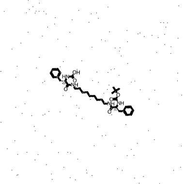 CC(C)(C)OC(=O)N[C@@H](Cc1ccccc1)C(=O)NCCCCCCCCCNC(=O)[C@H](Cc1ccccc1)NC(=O)O